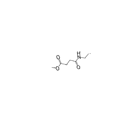 [CH2]CNC(=O)CCC(=O)OC